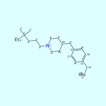 CCC(C)(C)CCCN1CCC(Cc2ccc(CC(C)(C)C)cc2)CC1